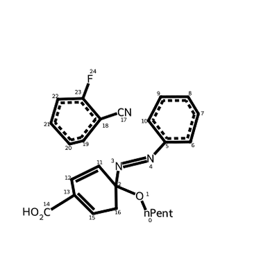 CCCCCOC1(N=Nc2ccccc2)C=CC(C(=O)O)=CC1.N#Cc1ccccc1F